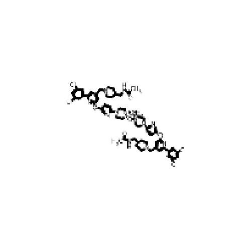 CC(=O)NCC1CCN(Cc2cc(Oc3ccc(N4CC[N+](C)(O[N+]5(C)CCN(c6ccc(Oc7cc(CN8CCC(CNC(C)=O)CC8)cc(-c8cc(Cl)cc(Cl)c8)n7)cn6)CC5)CC4)nc3)nc(-c3cc(Cl)cc(Cl)c3)c2)CC1